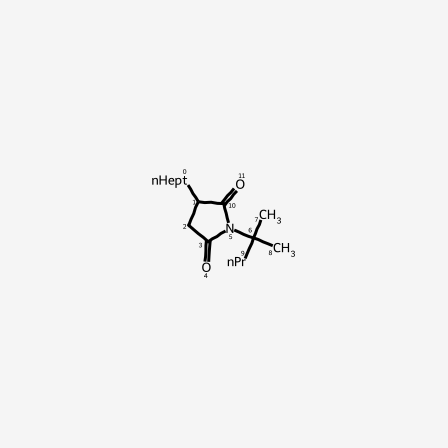 CCCCCCCC1CC(=O)N(C(C)(C)CCC)C1=O